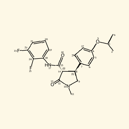 CC(C)Oc1ccc([C@H]2CN(C)C(=O)[C@@H]2C(=O)Nc2cccc(F)c2F)cc1